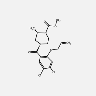 C=CCOc1cc(Cl)c(Cl)cc1C(=O)[C@@H]1CCN(C(=O)OC(C)(C)C)[C@H](C)C1